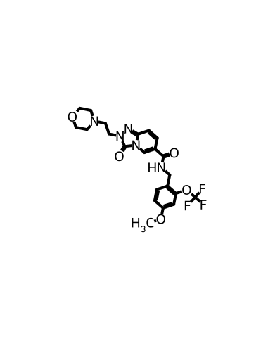 COc1ccc(CNC(=O)c2ccc3nn(CCN4CCOCC4)c(=O)n3c2)c(OC(F)(F)F)c1